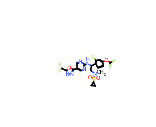 CN(CC(Nc1ncc(-c2nnc(C(F)F)o2)cn1)c1ccc(OC(F)F)cc1F)S(=O)(=O)C1CC1